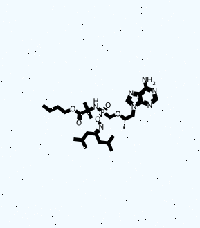 CCCCOC(=O)C(C)(C)NP(=O)(CO[C@@H](C)Cn1cnc2c(N)ncnc21)ON=C(CC(C)C)CC(C)C